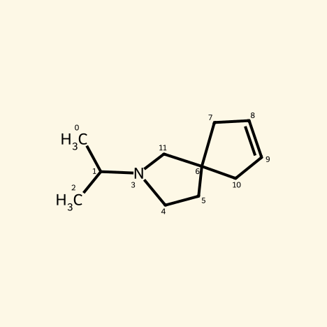 CC(C)N1CCC2(CC=CC2)C1